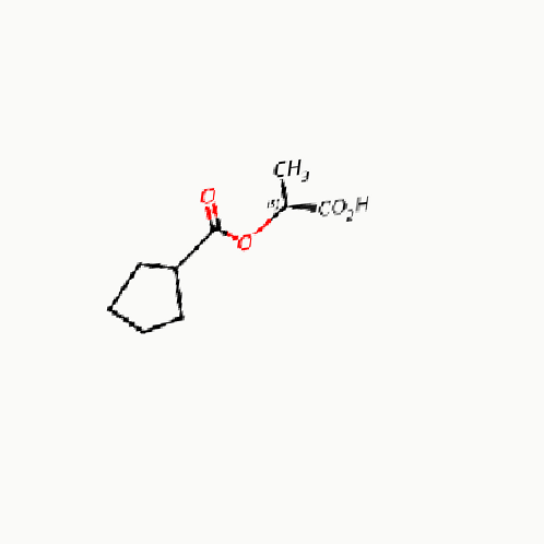 C[C@H](OC(=O)C1CCCC1)C(=O)O